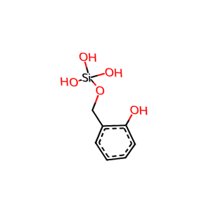 Oc1ccccc1CO[Si](O)(O)O